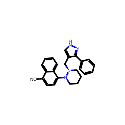 N#Cc1ccc(N2CCCCN2Cc2c[nH]nc2-c2ccccc2)c2ccccc12